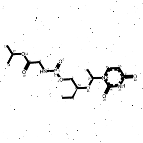 CC[C@@H](CO[PH](=O)NCC(=O)OC(C)C)OC(C)n1ccc(=O)[nH]c1=O